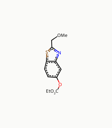 CCOC(=O)Oc1ccc2sc(COC)nc2c1